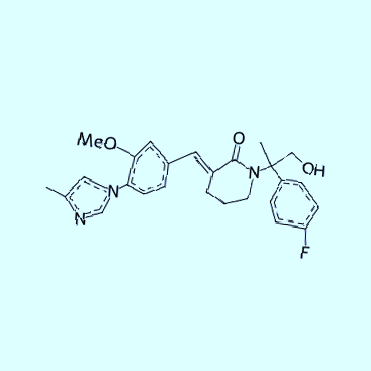 COc1cc(/C=C2\CCCN(C(C)(CO)c3ccc(F)cc3)C2=O)ccc1-n1cnc(C)c1